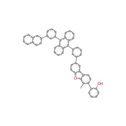 Cc1c(-c2ccccc2O)ccc2c1oc1ccc(-c3cccc(-c4c5ccccc5c(-c5cccc(-c6ccc7ccccc7c6)c5)c5ccccc45)c3)cc12